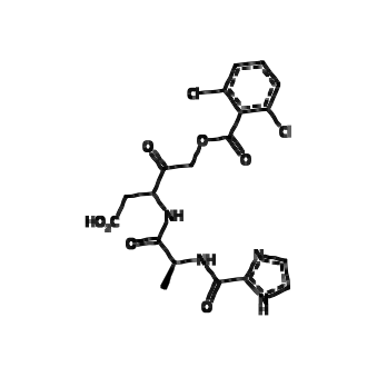 C[C@H](NC(=O)c1ncc[nH]1)C(=O)NC(CC(=O)O)C(=O)COC(=O)c1c(Cl)cccc1Cl